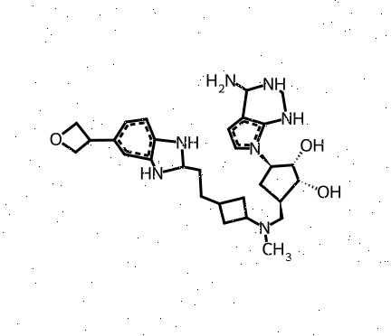 CN(C[C@H]1C[C@@H](n2ccc3c2NCNC3N)[C@H](O)[C@@H]1O)C1CC(CCC2Nc3ccc(C4COC4)cc3N2)C1